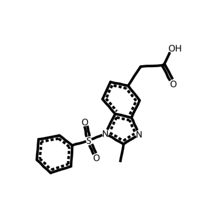 Cc1nc2cc(CC(=O)O)ccc2n1S(=O)(=O)c1ccccc1